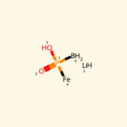 B[P](=O)(O)[Fe].[LiH]